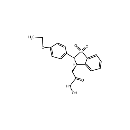 CCOc1ccc(N2[C@H](CC(=O)NO)c3ccccc3S2(=O)=O)cc1